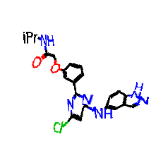 CC(C)NC(=O)COc1cccc(-c2nc(Cl)cc(Nc3ccc4[nH]ncc4c3)n2)c1